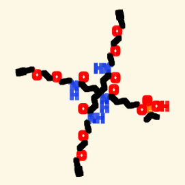 C#CCOCCOCCNC(=O)CCC(CCC(=O)NCCOCCOCC#C)(CCC(=O)NCCOCCOCC#C)NC(=O)CCCCOP(=O)(O)C(C)C